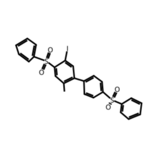 Cc1cc(S(=O)(=O)c2ccccc2)c(I)cc1-c1ccc(S(=O)(=O)c2ccccc2)cc1